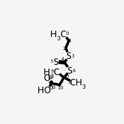 CCCSC(=S)SC(C)(C)CC(=O)O